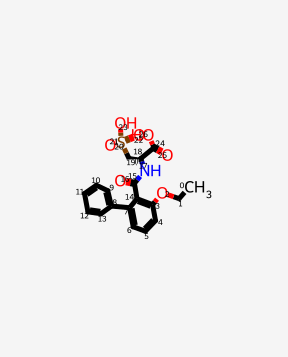 CCOc1cccc(-c2ccccc2)c1C(=O)N[C@@H](CS(=O)(=O)O)C(=O)O